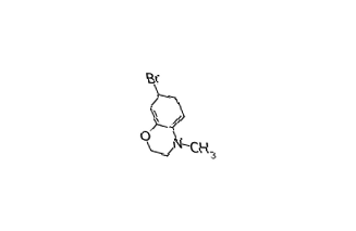 CN1CCOC2=CC(Br)CC=C21